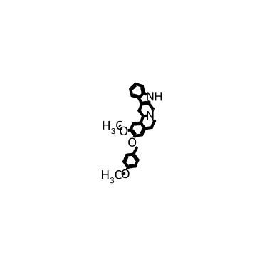 COc1ccc(COc2cc3c(cc2OC)C2Cc4c([nH]c5ccccc45)CN2CC3)cc1